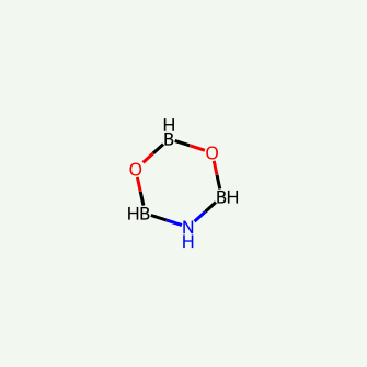 B1NBOBO1